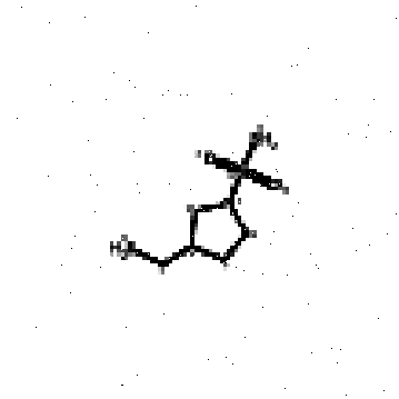 NCC1CCN(S(N)(=O)=O)C1